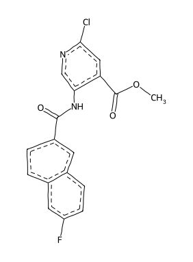 COC(=O)c1cc(Cl)ncc1NC(=O)c1ccc2cc(F)ccc2c1